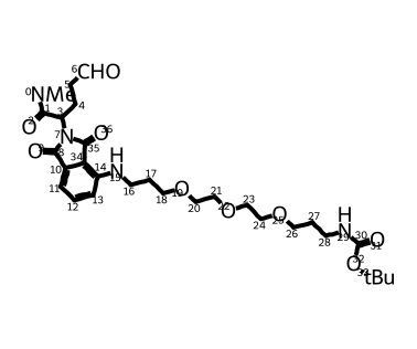 CNC(=O)C(CCC=O)N1C(=O)c2cccc(NCCCOCCOCCOCCCNC(=O)OC(C)(C)C)c2C1=O